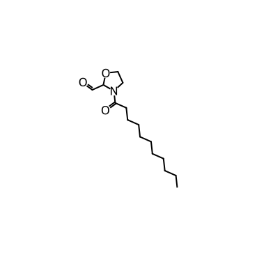 CCCCCCCCCCC(=O)N1CCOC1C=O